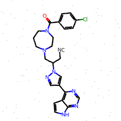 [C-]#[N+]CC(CN1CCCN(C(=O)c2ccc(Cl)cc2)CC1)n1cc(-c2ncnc3[nH]ccc23)cn1